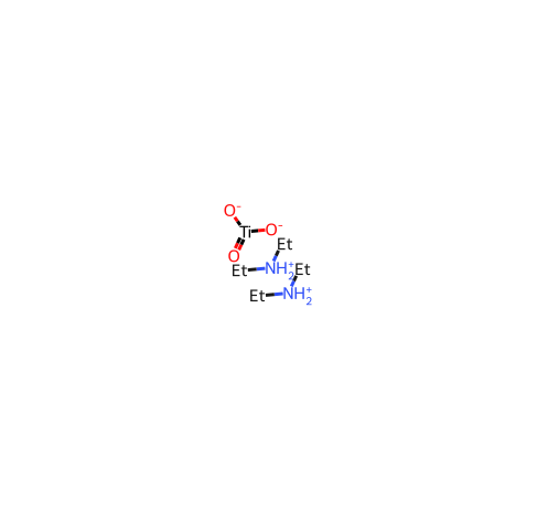 CC[NH2+]CC.CC[NH2+]CC.[O]=[Ti]([O-])[O-]